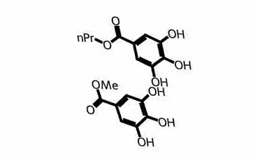 CCCOC(=O)c1cc(O)c(O)c(O)c1.COC(=O)c1cc(O)c(O)c(O)c1